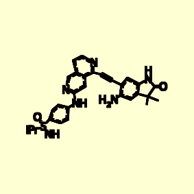 CC(C)S(=N)(=O)c1ccc(Nc2cc3c(C#Cc4cc5c(cc4N)C(C)(C)C(=O)N5)nccc3cn2)cc1